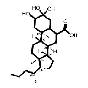 CCC[C@@H](C)[C@H]1CC[C@H]2[C@@H]3CC(C(=O)O)C4CC(O)(O)C(O)C[C@]4(C)[C@H]3CC[C@]12C